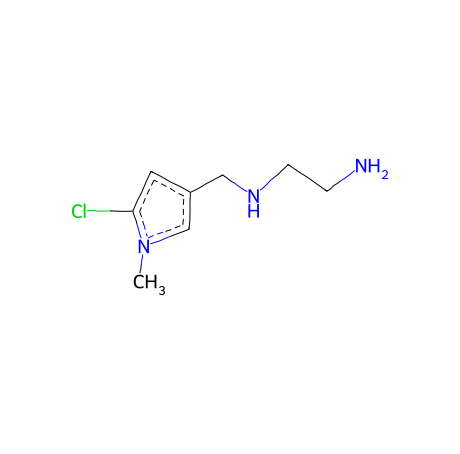 Cn1cc(CNCCN)cc1Cl